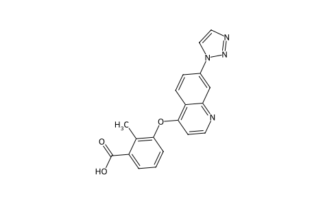 Cc1c(Oc2ccnc3cc(-n4ccnn4)ccc23)cccc1C(=O)O